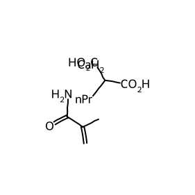 C=C(C)C(N)=O.CCCC(C(=O)O)C(=O)O.[CaH2]